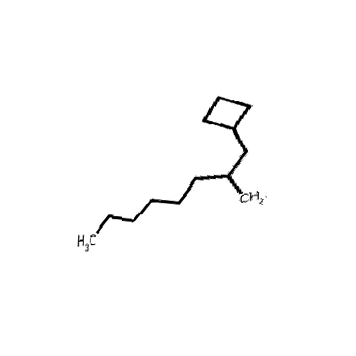 [CH2]C(CCCCCC)CC1CCC1